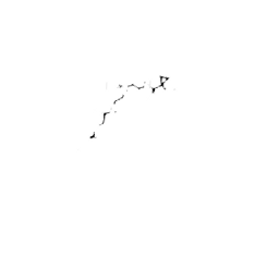 C=C(C)OCC(=O)NCCN(C)CCNC(=O)C1(C(C)C)CC1